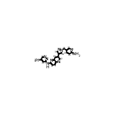 CC(C)c1cnnc(Nc2ccc3ncc(-c4cnn(Cc5ccc(N)nc5)c4)cc3n2)c1